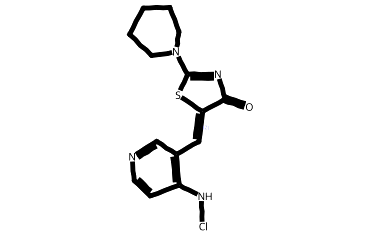 O=C1N=C(N2CCCCC2)S/C1=C\c1cnccc1NCl